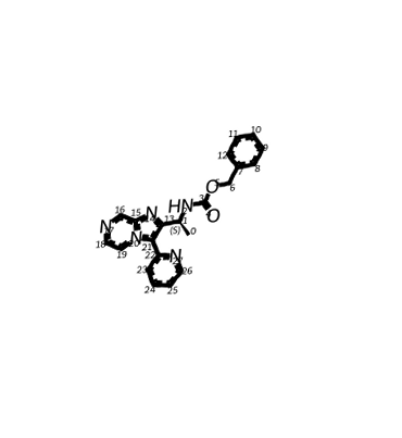 C[C@H](NC(=O)OCc1ccccc1)c1nc2cnccn2c1-c1ccccn1